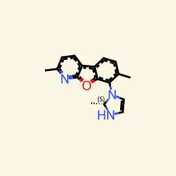 Cc1ccc2c(n1)oc1c(N3C=CN[C@@H]3C)c(C)ccc12